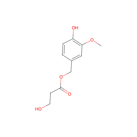 COc1cc(COC(=O)CCO)ccc1O